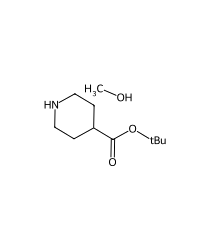 CC(C)(C)OC(=O)C1CCNCC1.CO